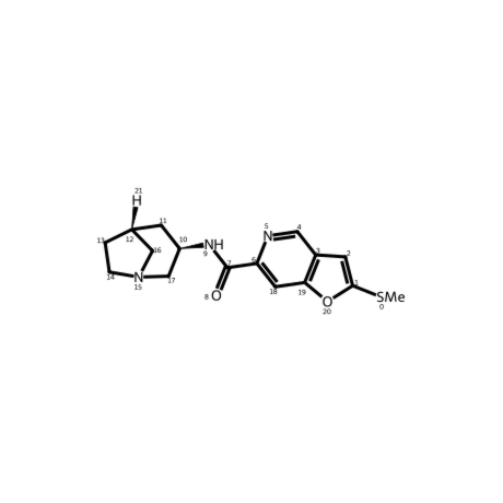 CSc1cc2cnc(C(=O)N[C@@H]3C[C@H]4CCN(C4)C3)cc2o1